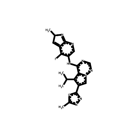 Cc1nnc(-c2cn3ncnc(Nc4cnc5c(c4F)=CC(C)N=5)c3c2C(C)C)o1